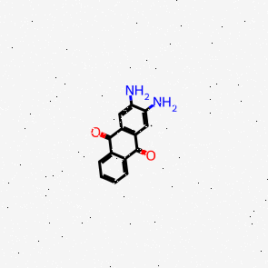 Nc1[c]c2c(cc1N)C(=O)c1ccccc1C2=O